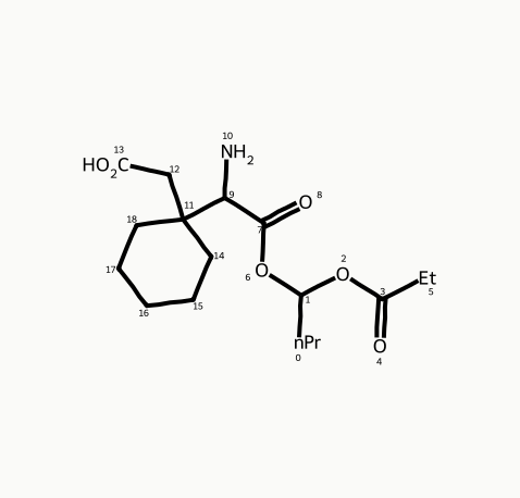 CCCC(OC(=O)CC)OC(=O)C(N)C1(CC(=O)O)CCCCC1